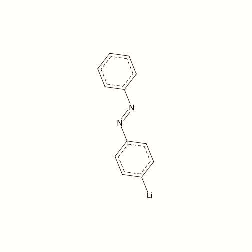 [Li][c]1ccc(/N=N/c2ccccc2)cc1